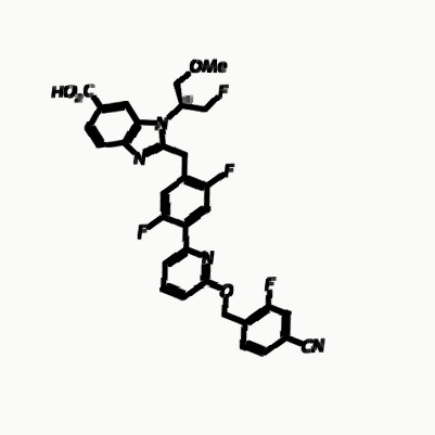 COC[C@@H](CF)n1c(Cc2cc(F)c(-c3cccc(OCc4ccc(C#N)cc4F)n3)cc2F)nc2ccc(C(=O)O)cc21